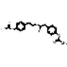 CC(=O)Oc1ccc(CCOC(O)Cc2ccc(OC(C)=O)cc2)cc1